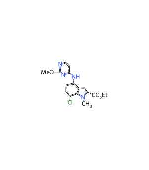 CCOC(=O)c1cc2c(Nc3ccnc(OC)n3)ccc(Cl)c2n1C